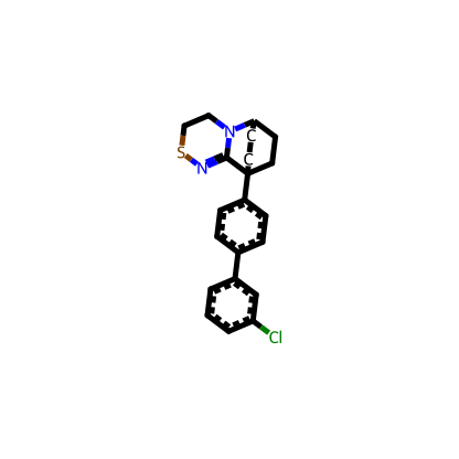 Clc1cccc(-c2ccc(C34CCC(CC3)N3CCSN=C34)cc2)c1